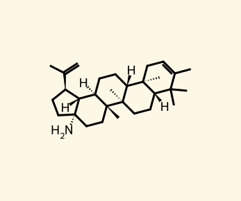 C=C(C)[C@@H]1CC[C@]2(N)CC[C@]3(C)[C@H](CC[C@@H]4[C@@]5(C)CC=C(C)C(C)(C)[C@@H]5CC[C@]43C)[C@@H]12